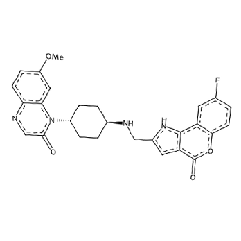 COc1ccc2ncc(=O)n([C@H]3CC[C@H](NCc4cc5c(=O)oc6ccc(F)cc6c5[nH]4)CC3)c2c1